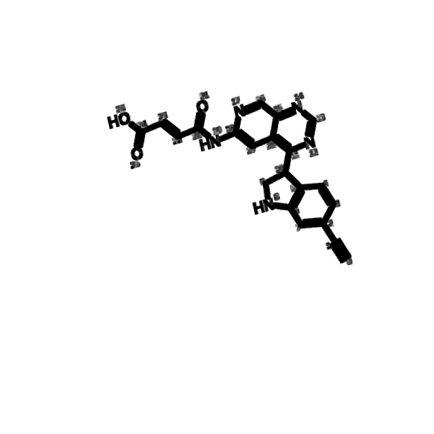 C#Cc1ccc2c(c1)NCC2c1ncnc2cnc(NC(=O)C=CC(=O)O)cc12